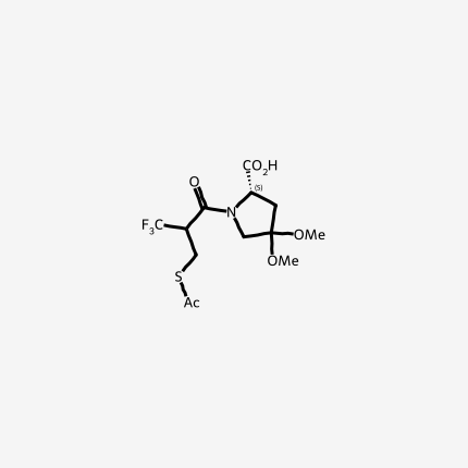 COC1(OC)C[C@@H](C(=O)O)N(C(=O)C(CSC(C)=O)C(F)(F)F)C1